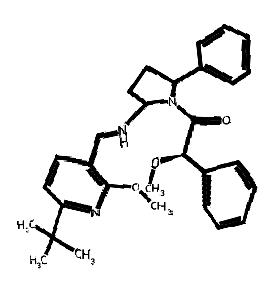 COc1nc(C(C)(C)C)ccc1CNC1CCC(c2ccccc2)N1C(=O)[C@H](OC)c1ccccc1